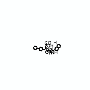 O=C(NC(Cc1ccc(-c2ccccc2)cc1)CC(O)C(=O)O)c1cc(-c2ccc3ccccc3c2)[nH]n1